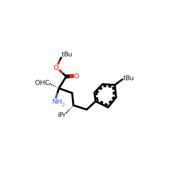 CC(C)[C@@H](Cc1ccc(C(C)(C)C)cc1)C[C@](N)(C=O)C(=O)OC(C)(C)C